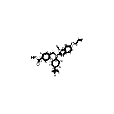 C=CCOc1ccc2nc(N(Cc3ccc(C(=O)O)cc3)C3CCC(C(C)(C)C)CC3)n(C)c2c1